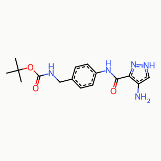 CC(C)(C)OC(=O)NCc1ccc(NC(=O)c2n[nH]cc2N)cc1